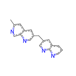 Cc1cc2cc(Cc3cnc4ncccc4c3)cnc2cn1